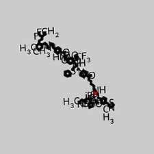 C=CC(CCC1=C(CN2CCN(c3ccc(C(=O)NS(=O)(=O)c4ccc(N[C@H](CCN5CCN(C(=O)CCCCCNC(=O)C[C@H](NC(=O)[C@@H]6CCCC6C(=O)C(/C(O)=C/C(C)=N)C(C)C)c6ccc(-c7scnc7C)cc6)CC5)CSc5ccccc5)c(S(=O)(=O)C(F)(F)F)c4)cc3)CC2)CCC(C)(C)C1)C(F)F